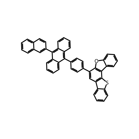 c1ccc2cc(-c3c4ccccc4c(-c4ccc(-c5cc6c7ccccc7sc6c6c5oc5ccccc56)cc4)c4ccccc34)ccc2c1